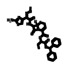 CCC(OC(=O)C1=CCS[C@@H]2C(NC(=O)/C(=N\OC)c3csc(N)n3)C(=O)N12)C(=O)OC(c1ccccc1)c1ccccc1